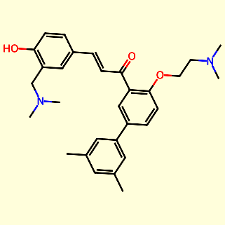 Cc1cc(C)cc(-c2ccc(OCCN(C)C)c(C(=O)/C=C/c3ccc(O)c(CN(C)C)c3)c2)c1